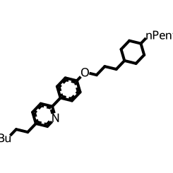 CCCCCC1CCC(CCCOc2ccc(-c3ccc(CCC(C)CC)cn3)cc2)CC1